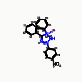 O=[N+]([O-])c1ccc(N2N=C(c3ccccc3)[N+](I)(c3ccccc3)N2)cc1